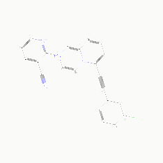 N#Cc1cccnc1N1C=CN2C(C#CC3C=CCC(Cl)C3)=CC=CC2=C1